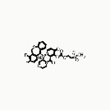 CS(=O)(=O)CCOC(=O)Oc1c2n(ccc1=O)N([C@@H]1c3ccccc3SCc3c1ccc(F)c3F)[C@@H]1COCCN1C2=O